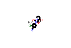 Cc1c(N2C(=O)[C@@H]3[C@H](O)CCCN3C2=O)ccc(C#N)c1Cl